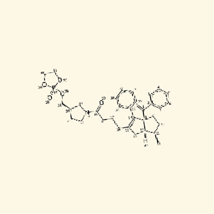 C=C(c1ccccc1)[C@@]12CC[C@@H](C)[C@@H]1CC(CCCC(=O)N1CC[C@@H](COP3(=O)OCCO3)C1)=C2c1ccccc1